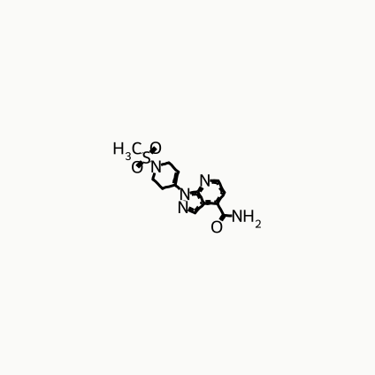 CS(=O)(=O)N1CC=C(n2ncc3c(C(N)=O)ccnc32)CC1